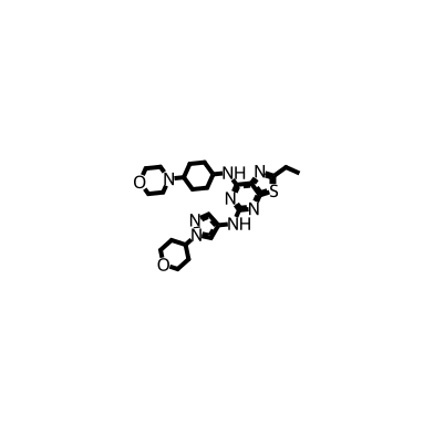 CCc1nc2c(NC3CCC(N4CCOCC4)CC3)nc(Nc3cnn(C4CCOCC4)c3)nc2s1